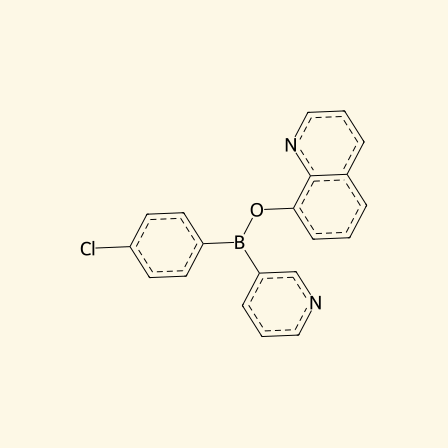 Clc1ccc(B(Oc2cccc3cccnc23)c2cccnc2)cc1